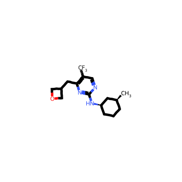 C[C@H]1CCC[C@@H](Nc2ncc(C(F)(F)F)c(CC3COC3)n2)C1